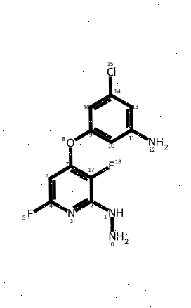 NNc1nc(F)cc(Oc2cc(N)cc(Cl)c2)c1F